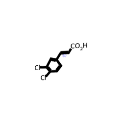 O=C(O)/C=C/c1ccc(Cl)c(Cl)c1